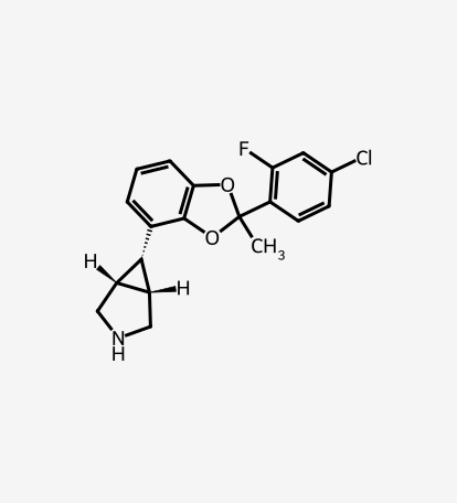 CC1(c2ccc(Cl)cc2F)Oc2cccc([C@@H]3[C@@H]4CNC[C@@H]43)c2O1